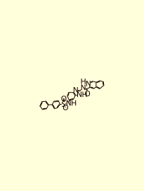 O=C(Nc1nc2ccc(NS(=O)(=O)c3ccc(-c4ccccc4)cc3)cc2[nH]1)c1cc2ccccc2cn1